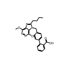 CCCCc1nc2c(OC)nnc(O)c2n1Cc1ccc(-c2ccccc2C(=O)O)cc1